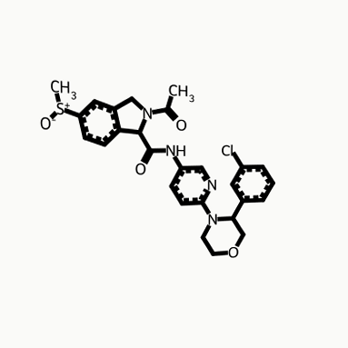 CC(=O)N1Cc2cc([S+](C)[O-])ccc2C1C(=O)Nc1ccc(N2CCOCC2c2cccc(Cl)c2)nc1